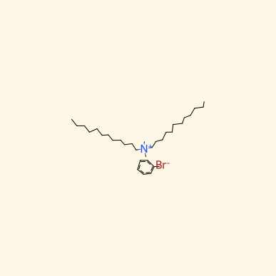 CCCCCCCCCCCC[N+](C)(C)CCCCCCCCCCCC.Cc1ccccc1.[Br-]